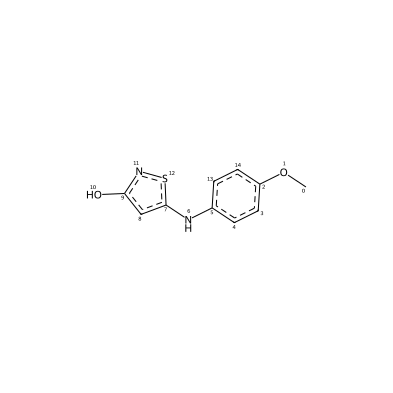 COc1ccc(Nc2cc(O)ns2)cc1